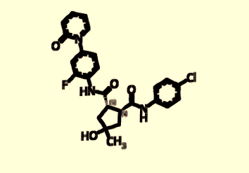 CC1(O)C[C@H](C(=O)Nc2ccc(Cl)cc2)[C@@H](C(=O)Nc2ccc(-n3ccccc3=O)cc2F)C1